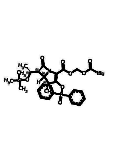 C[C@@H](O[Si](C)(C)C)[C@H]1C(=O)N2C(C(=O)OCOC(=O)C(C)(C)C)=C(OP(=O)(c3ccccc3)c3ccccc3)[C@H](C)[C@H]12